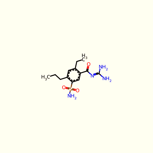 CCCc1cc(CC)c(C(=O)N=C(N)N)cc1S(N)(=O)=O